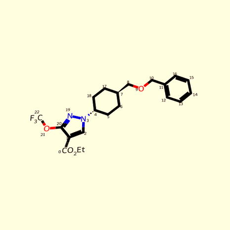 CCOC(=O)c1cn([C@H]2CC[C@H](COCc3ccccc3)CC2)nc1OC(F)(F)F